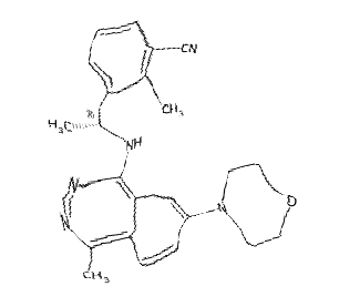 Cc1c(C#N)cccc1[C@@H](C)Nc1nnc(C)c2ccc(N3CCOCC3)cc12